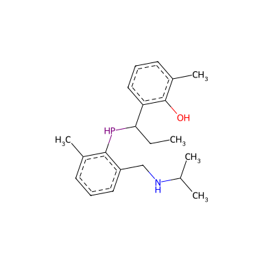 CCC(Pc1c(C)cccc1CNC(C)C)c1cccc(C)c1O